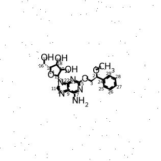 CO[C@H](COc1nc(N)c2ncn([C@@H]3O[C@H](CO)C(O)C3O)c2n1)c1ccccc1